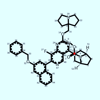 CC(C)(C)OC(=O)N1[C@@H]2CC[C@H]1CN(c1nc(OCC34CCCN3CCC4)nc3c(F)c(-c4cc(OCc5ccccc5)cc5ccccc45)ncc13)C2